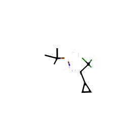 CC(C)(C)[S@+]([O-])N[C@@H](C1CC1)C(F)(F)F